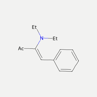 CCN(CC)C(=Cc1ccccc1)C(C)=O